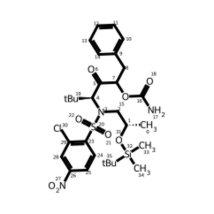 C[C@@H](CN([C@H](C(=O)C(Cc1ccccc1)OC(N)=O)C(C)(C)C)S(=O)(=O)c1ccc([N+](=O)[O-])cc1Cl)O[Si](C)(C)C(C)(C)C